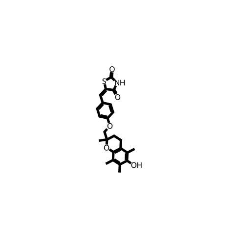 Cc1c(C)c2c(c(C)c1O)CCC(C)(COc1ccc(C=C3SC(=O)NC3=O)cc1)O2